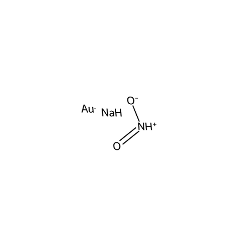 O=[NH+][O-].[Au].[NaH]